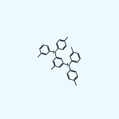 Cc1ccc(N(c2cccc(C)c2)c2cc(C)cc(N(c3ccc(C)cc3)c3cccc(C)c3)c2)cc1